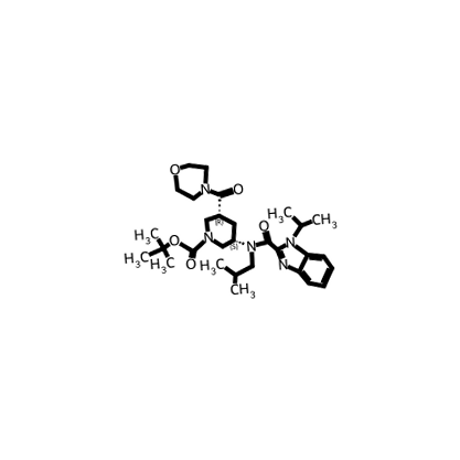 CC(C)CN(C(=O)c1nc2ccccc2n1C(C)C)[C@H]1C[C@@H](C(=O)N2CCOCC2)CN(C(=O)OC(C)(C)C)C1